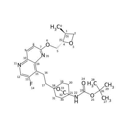 C[C@H]1CO[C@@H]1COc1ccc2ncc(F)c(CCC34CCC(NC(=O)OC(C)(C)C)(CC3)CO4)c2n1